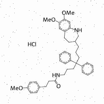 COc1ccc(CCC(=O)NCCCC(CCCC2CCc3cc(OC)c(OC)cc3NC2)(c2ccccc2)c2ccccc2)cc1.Cl